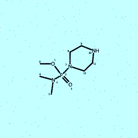 COP(=O)(N(C)C)N1CCNCC1